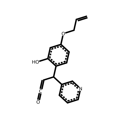 C=CCOc1ccc(C(C=C=O)c2cccnc2)c(O)c1